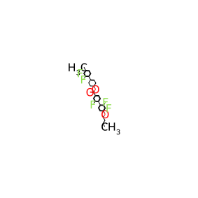 CCCCOc1ccc(-c2ccc(C(=O)OC3CC=C(c4ccc(C)c(F)c4F)CC3)cc2F)c(F)c1F